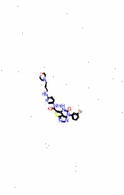 O=C(Nc1ccc(NCCCN2CCOCC2)nc1)c1sc2ncnc3c2c1NC(=O)N3c1cccc(Br)c1